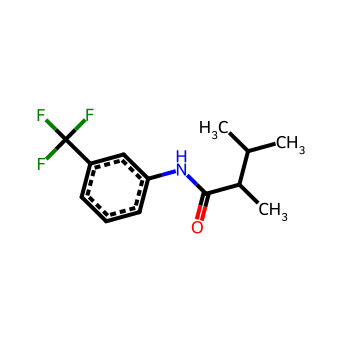 CC(C)C(C)C(=O)Nc1cccc(C(F)(F)F)c1